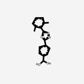 Cc1cccc(C)c1-c1nnc(-c2ccc(C(O)O)cc2)o1